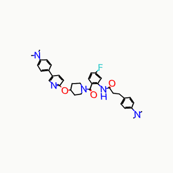 CN(C)c1ccc(CCC(=O)Nc2cc(F)ccc2C(=O)N2CCC(Oc3ccc(-c4ccc(N(C)C)cc4)cn3)CC2)cc1